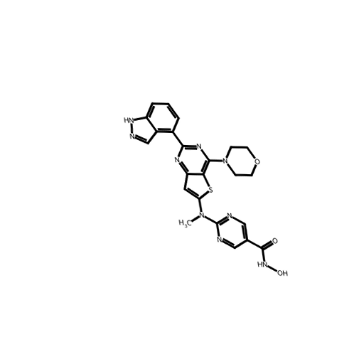 CN(c1ncc(C(=O)NO)cn1)c1cc2nc(-c3cccc4[nH]ncc34)nc(N3CCOCC3)c2s1